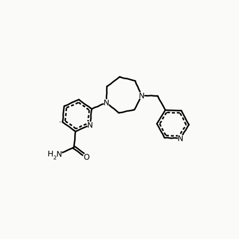 NC(=O)c1[c]ccc(N2CCCN(Cc3ccncc3)CC2)n1